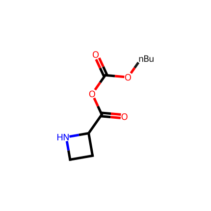 CCCCOC(=O)OC(=O)C1CCN1